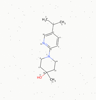 CC(C)c1ccc(N2CCC(C)(O)CC2)nc1